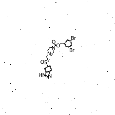 O=C(OCc1cc(Br)cc(Br)c1)N1CCN(CC[S+]([O-])c2ccc3nn[nH]c3c2)CC1